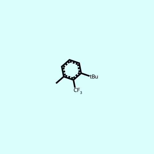 Cc1cccc(C(C)(C)C)c1C(F)(F)F